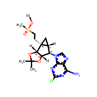 CCOP(C)(=O)CC[C@]12C[C@@H]1[C@@H](n1cnc3c(N)nc(Cl)nc31)[C@@H]1OC(C)(C)O[C@@H]12